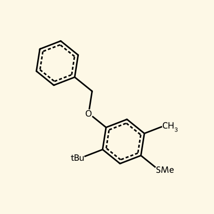 CSc1cc(C(C)(C)C)c(OCc2ccccc2)cc1C